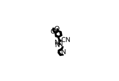 N#Cc1c(-c2ccc3c(c2)OCO3)nnn1Cc1ccccn1